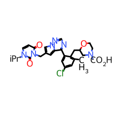 Cc1cc(Cl)cc(-c2ncnn3cc(Cn4c(=O)ccn(C(C)C)c4=O)cc23)c1CC1CN(C(=O)O)CCO1